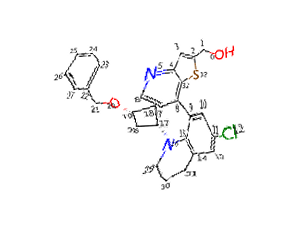 OCc1cc2nccc(-c3cc(Cl)cc4c3N([C@H]3C[C@@H](OCc5ccccc5)C3)CCC4)c2s1